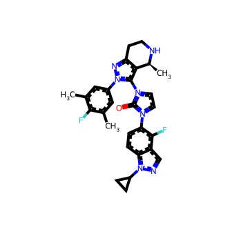 Cc1cc(-n2nc3c(c2-n2ccn(-c4ccc5c(cnn5C5CC5)c4F)c2=O)[C@H](C)NCC3)cc(C)c1F